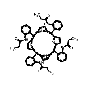 CCC(=O)Nc1ccccc1-c1c2nc(c(-c3ccccc3NC(=O)CC)c3ccc([nH]3)c(-c3ccccc3NC(=O)CC)c3nc(c(-c4ccccc4NC(=O)CC)c4ccc1[nH]4)C=C3)C=C2